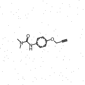 C#CCOc1ccc(NC(=O)N(C)C)cc1